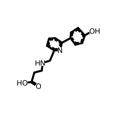 O=C(O)CCNCc1cccc(-c2ccc(O)cc2)n1